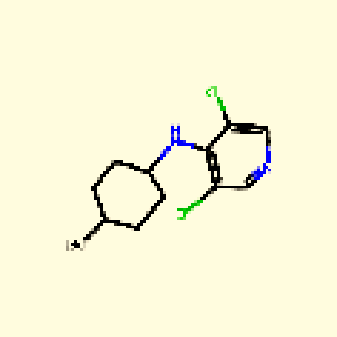 CC(C)(C)C1CCC(Nc2c(Cl)cncc2Cl)CC1